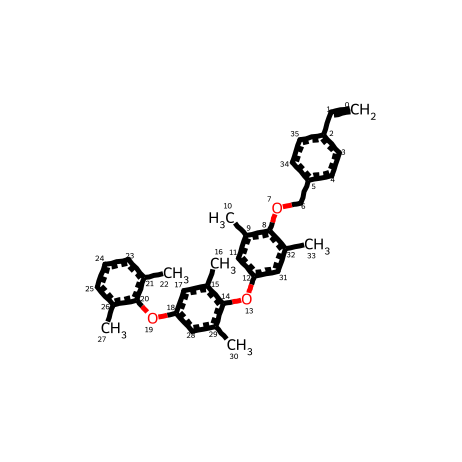 C=Cc1ccc(COc2c(C)cc(Oc3c(C)cc(Oc4c(C)cccc4C)cc3C)cc2C)cc1